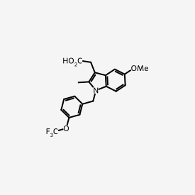 COc1ccc2c(c1)c(CC(=O)O)c(C)n2Cc1cccc(OC(F)(F)F)c1